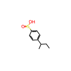 CCC(C)c1ccc(S(=O)O)cc1